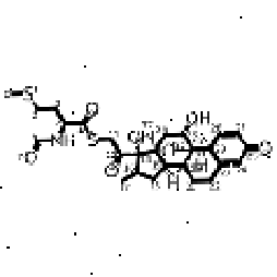 CSCCC(NC=O)C(=O)SCC(=O)[C@@]1(O)C(C)C[C@H]2[C@@H]3CCC4=CC(=O)C=C[C@]4(C)[C@@]3(Cl)C(O)C[C@@]21C